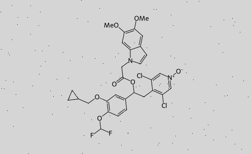 COc1cc2ccn(CC(=O)OC(Cc3c(Cl)c[n+]([O-])cc3Cl)c3ccc(OC(F)F)c(OCC4CC4)c3)c2cc1OC